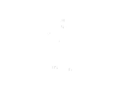 CNC(=O)OCc1c[nH]c(Br)c1